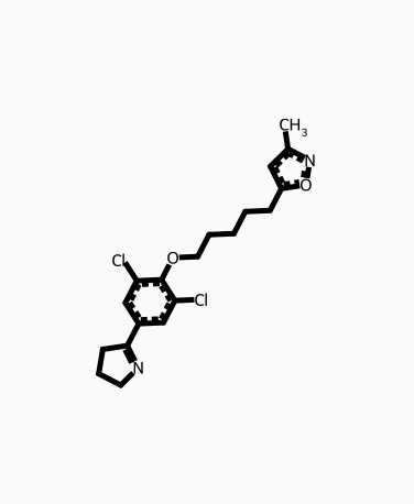 Cc1cc(CCCCCOc2c(Cl)cc(C3=NCCC3)cc2Cl)on1